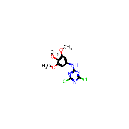 COc1cc(Nc2nc(Cl)nc(Cl)n2)cc(OC)c1OC